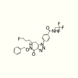 O=C(NCC(F)(F)F)c1ccc(-n2nnc(C(=O)NOCc3ccccc3)c2CCCCCF)cc1